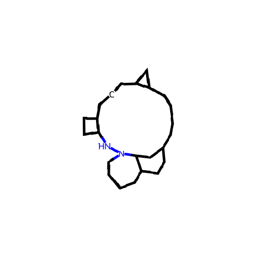 C1CCC2CC2CCCC2CCC2NN2CCCCC3CCC(C1)CC32